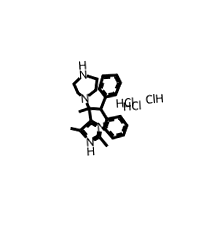 Cc1nc(C(C)(C(c2ccccc2)c2ccccc2)N2CCNCC2)c(C)[nH]1.Cl.Cl.Cl